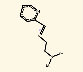 CCN(CC)CC/N=C/c1ccccn1